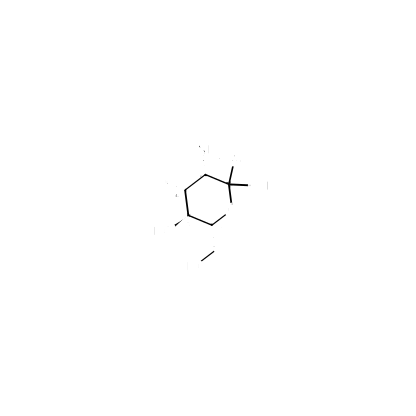 CC(=O)C1(O)O[C@H](CO)[C@@H](O)[C@H](O)[C@@H]1N